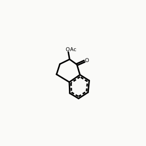 CC(=O)OC1CCc2ccccc2C1=O